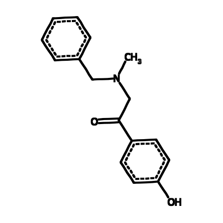 CN(CC(=O)c1ccc(O)cc1)Cc1ccccc1